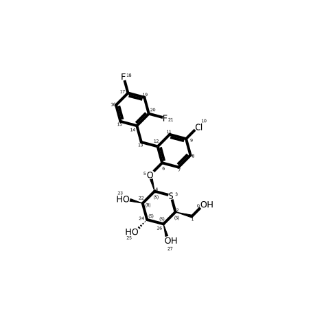 OC[C@@H]1S[C@H](Oc2ccc(Cl)cc2Cc2ccc(F)cc2F)[C@H](O)[C@@H](O)[C@@H]1O